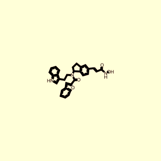 O=C(C=Cc1ccc2c(c1)CCC2N(CCc1c[nH]c2ccccc12)C(=O)c1cc2ccccc2o1)NO